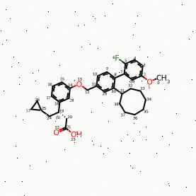 COc1ccc(F)c(-c2ccc(COc3cccc([C@H](CC(=O)O)CC4CC4)c3)cc2C2CCCCCCC2)c1